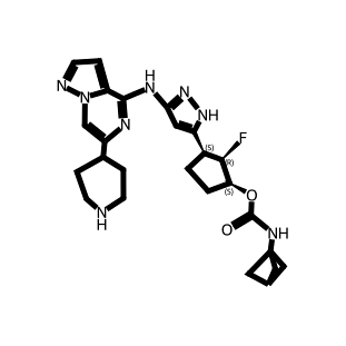 O=C(NC12CC(C1)C2)O[C@H]1CC[C@@H](c2cc(Nc3nc(C4CCNCC4)cn4nccc34)n[nH]2)[C@H]1F